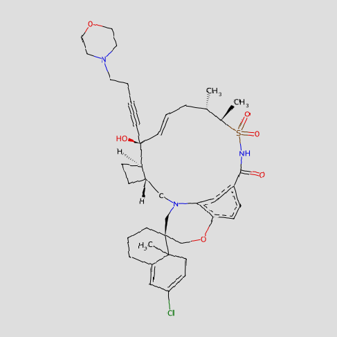 C[C@@H]1[C@@H](C)C/C=C/[C@@](O)(C#CCCN2CCOCC2)[C@@H]2CC[C@H]2CN2C[C@@]3(CCCC4=CC(Cl)=CCC43C)COc3ccc(cc32)C(=O)NS1(=O)=O